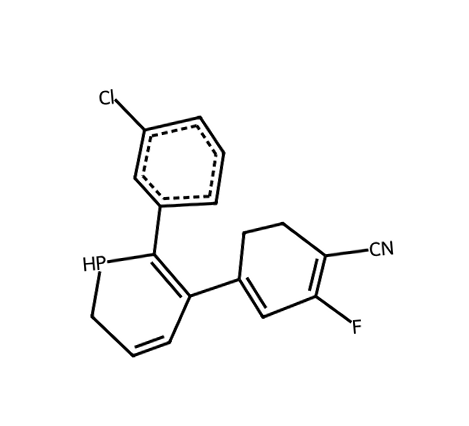 N#CC1=C(F)C=C(C2=C(c3cccc(Cl)c3)PCC=C2)CC1